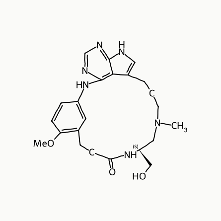 COc1ccc2cc1CCC(=O)N[C@H](CO)CN(C)CCCc1c[nH]c3ncnc(c13)N2